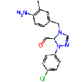 Cc1cc(CN2C=NN(c3ccc(Cl)cc3)C2C=O)ccc1N